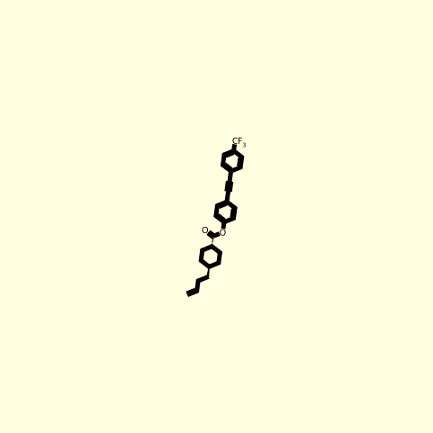 C=CCC[C@H]1CC[C@H](C(=O)Oc2ccc(C#Cc3ccc(C(F)(F)F)cc3)cc2)CC1